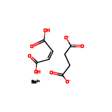 O=C(O)/C=C\C(=O)O.O=C([O-])CCC(=O)[O-].[Ba+2]